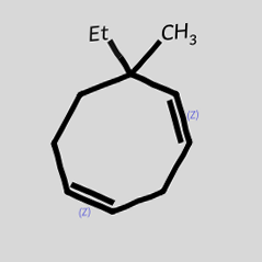 CCC1(C)/C=C\C/C=C\CC1